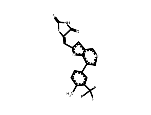 Nc1ccc(-c2cncc3cc(C=C4SC(=S)NC4=O)oc23)cc1C(F)(F)F